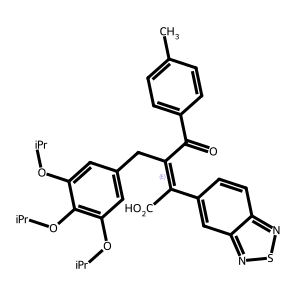 Cc1ccc(C(=O)/C(Cc2cc(OC(C)C)c(OC(C)C)c(OC(C)C)c2)=C(/C(=O)O)c2ccc3nsnc3c2)cc1